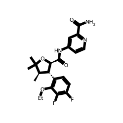 CCOc1c([C@@H]2[C@@H](C)C(C)(C)O[C@H]2C(=O)Nc2ccnc(C(N)=O)c2)ccc(F)c1F